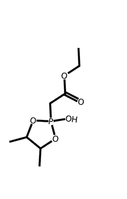 CCOC(=O)C[P]1(O)OC(C)C(C)O1